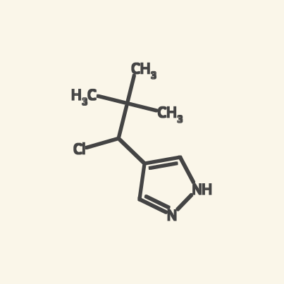 CC(C)(C)C(Cl)c1cn[nH]c1